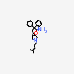 CC(C)=CCCN1CC2C(C1)C2CC(C(N)=O)(c1ccccc1)c1ccccc1